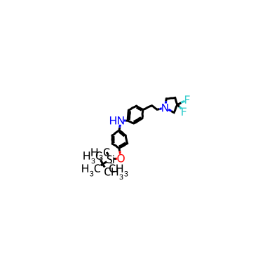 CC(C)(C)[Si](C)(C)Oc1ccc(Nc2ccc(CCN3CCC(F)(F)C3)cc2)cc1